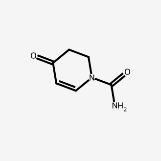 NC(=O)N1C=CC(=O)CC1